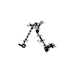 CCCC/C1=C/C(OCC(=O)NCCOCCOCCOCCOCCC(=O)N[C@@H](CCC(=O)O)C(=O)N[C@H](C(=O)N[C@@H](CCCNC(N)=O)C(=O)Nc2ccc(COC(=O)NCCCC[C@H](N)C(=O)NCOCC(=O)N[C@H]3CCc4c(C)c(F)cc5nc6c(c3c45)Cn3c-6cc4c(c3=O)COC(=O)[C@]4(O)CC)cc2)C(C)C)CCCCC1